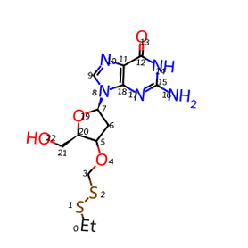 CCSSCOC1C[C@H](n2cnc3c(=O)[nH]c(N)nc32)O[C@@H]1CO